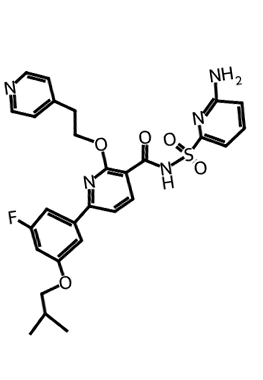 CC(C)COc1cc(F)cc(-c2ccc(C(=O)NS(=O)(=O)c3cccc(N)n3)c(OCCc3ccncc3)n2)c1